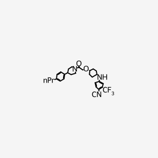 CCCc1ccc(C2CCN(C(=O)CO[C@H]3CC[C@H](Nc4ccc(C#N)c(C(F)(F)F)c4)CC3)CC2)cc1